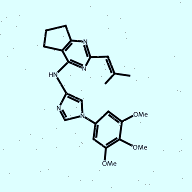 COc1cc(-n2cnc(Nc3nc(C=C(C)C)nc4c3CCC4)c2)cc(OC)c1OC